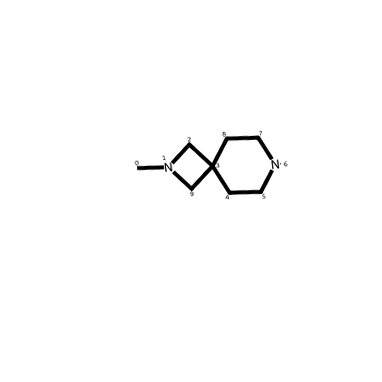 CN1CC2(CC[N]CC2)C1